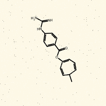 CC1C=CC=C(OC(=O)c2ccc(NC(=N)N)cc2)C=C1